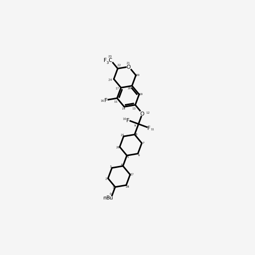 CCCCC1CCC(C2CCC(C(F)(F)Oc3cc(F)c4c(c3)COC(C(F)(F)F)C4)CC2)CC1